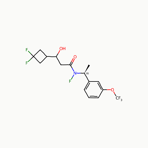 C[C@@H](c1cccc(OC(F)(F)F)c1)N(F)C(=O)CC(O)C1CC(F)(F)C1